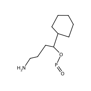 NCCCC(OP=O)C1CCCCC1